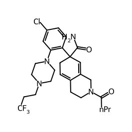 CCCC(=O)N1CCC2=CCC(C(N)=O)(c3ccc(Cl)cc3N3CCN(CCC(F)(F)F)CC3)C=C2C1